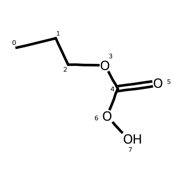 CCCOC(=O)OO